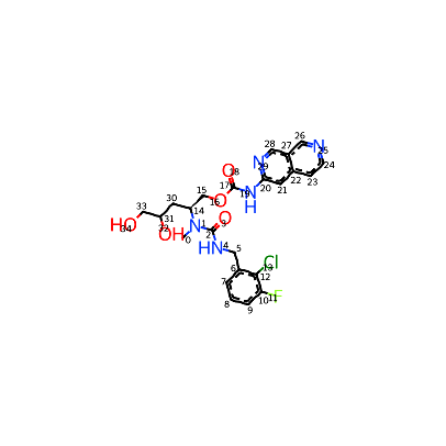 CN(C(=O)NCc1cccc(F)c1Cl)[C@H](COC(=O)Nc1cc2ccncc2cn1)CC(O)CO